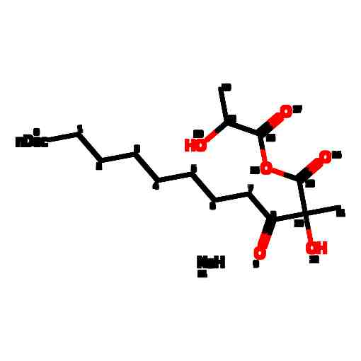 CCCCCCCCCCCCCCCCCC(=O)C(C)(O)C(=O)OC(=O)C(C)O.[NaH]